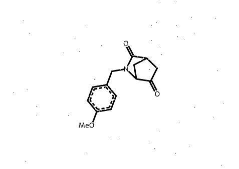 COc1ccc(CN2C(=O)C3CC(=O)C2C3)cc1